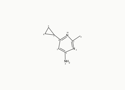 Cc1nc(N)cc(C2CC2)n1